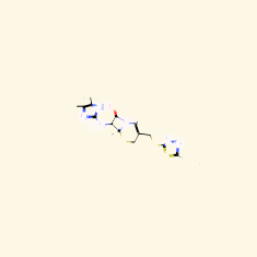 Cc1nnc(SCC2=C(C(=O)O)N3C(=O)C(Nc4nc(C)c(C)[nH]4)[C@H]3SC2)s1